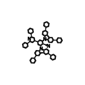 N#Cc1c(-n2c3ccc(-c4ccccc4)cc3c3cc(-c4ccccc4)ccc32)cc(-c2cc(-c3ccccc3)nc(-c3ccccc3)c2)cc1-n1c2ccc(-c3ccccc3)cc2c2cc(-c3ccccc3)ccc21